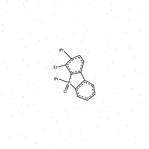 CCc1c(C(C)C)ccc2c1P(=O)(C(C)C)c1ccccc1-2